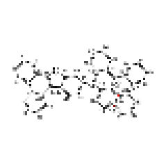 C1=CC2c3ccccc3-c3oc4cc(-c5c6ccccc6c(-c6ccccc6-c6ccccc6)c6ccccc56)ccc4c3C2C=C1